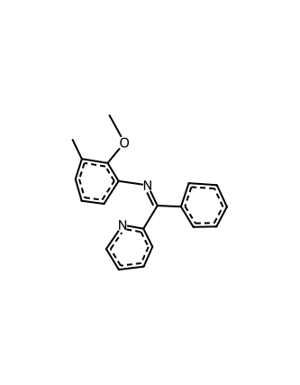 COc1c(C)cccc1N=C(c1ccccc1)c1ccccn1